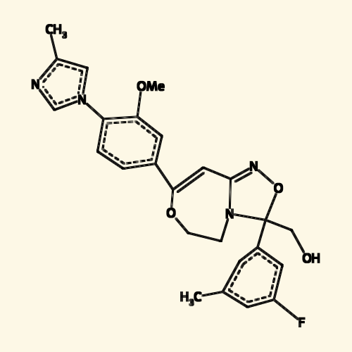 COc1cc(C2=CC3=NOC(CO)(c4cc(C)cc(F)c4)N3CCO2)ccc1-n1cnc(C)c1